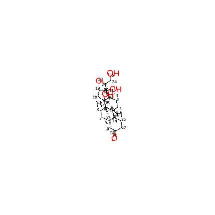 C[C@]12CC[C@H]3[C@@H](CCC4=CC(=O)CC[C@@]43C)[C@]1(O)CC[C@]2(O)C(=O)CO